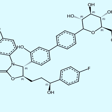 O=C1O[C@H](CC[C@H](O)c2ccc(F)cc2)[C@@H](c2ccc(-c3ccc(C4O[C@H](CO)[C@@H](O)[C@H](O)[C@H]4O)cc3)cc2O)N1c1ccc(F)cc1